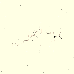 C=C(C)C(=O)OCC[N+](C)(C)CCOCCOC.[Cl-]